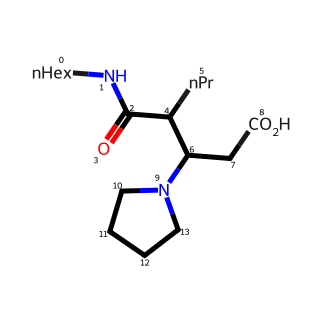 CCCCCCNC(=O)C(CCC)C(CC(=O)O)N1CCCC1